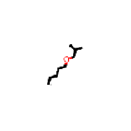 [CH2]CCCCOCC(C)C